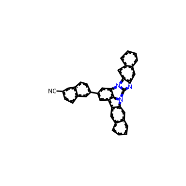 N#Cc1ccc2cc(-c3cc4c5cc6ccccc6cc5n5c4c(c3)n3c4cc6ccccc6cc4nc35)ccc2c1